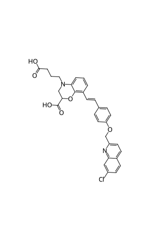 O=C(O)CCCN1CC(C(=O)O)Oc2c(/C=C/c3ccc(OCc4ccc5ccc(Cl)cc5n4)cc3)cccc21